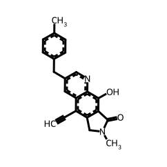 C#Cc1c2c(c(O)c3ncc(Cc4ccc(C)cc4)cc13)C(=O)N(C)C2